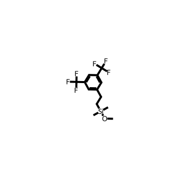 CO[Si](C)(C)CCc1cc(C(F)(F)F)cc(C(F)(F)F)c1